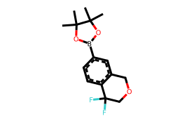 CC1(C)OB(c2ccc3c(c2)COCC3(F)F)OC1(C)C